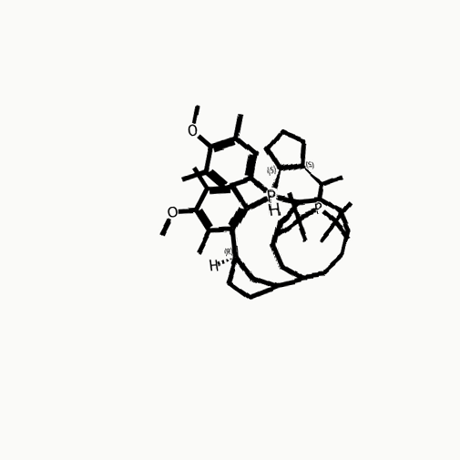 COc1c(C)cc([PH]2([C@H]3CCC[C@H]3C(C)P(C(C)(C)C)C(C)(C)C)c3cc(C)c(OC)c(C)c3[C@@H]3CCC(C3)C3CCCCCC2CCC3)cc1C